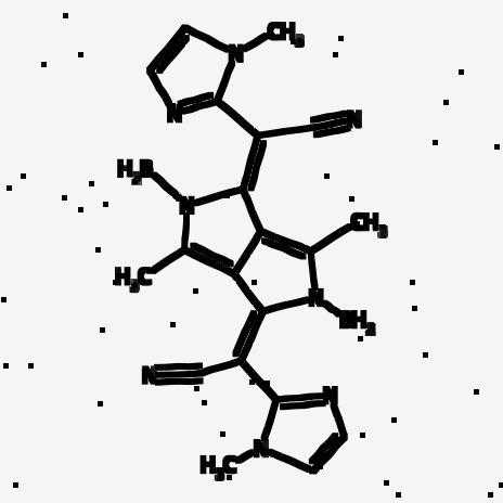 Bn1c(C)c2/c(=C(\C#N)c3nccn3C)n(B)c(C)c2/c1=C(\C#N)c1nccn1C